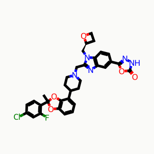 CC1(c2ccc(Cl)cc2F)Oc2cccc(C3CCN(Cc4nc5cc(-c6n[nH]c(=O)o6)ccc5n4C[C@@H]4CCO4)CC3)c2O1